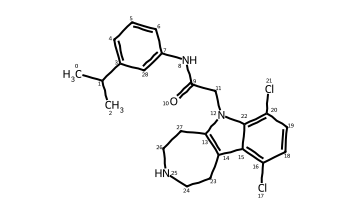 CC(C)c1cccc(NC(=O)Cn2c3c(c4c(Cl)ccc(Cl)c42)CCNCC3)c1